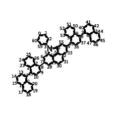 c1ccc(-n2c3cc(-c4ccc(-c5cccc6ccccc56)c5ccccc45)cc4ccc5cc(-c6ccc(-c7cccc8ccccc78)c7ccccc67)cc2c5c43)cc1